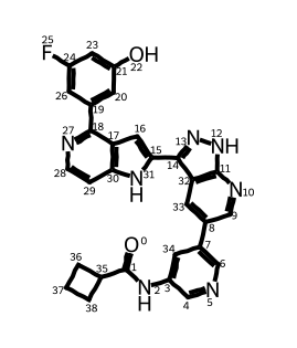 O=C(Nc1cncc(-c2cnc3[nH]nc(-c4cc5c(-c6cc(O)cc(F)c6)nccc5[nH]4)c3c2)c1)C1CCC1